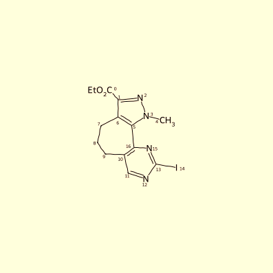 CCOC(=O)c1nn(C)c2c1CCCc1cnc(I)nc1-2